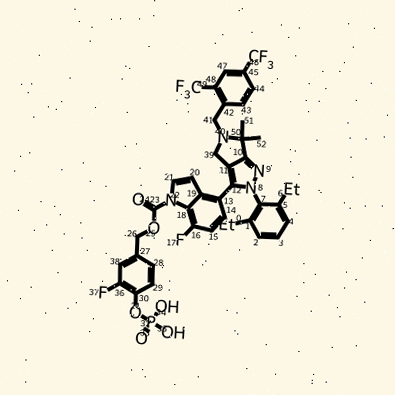 CCc1cccc(CC)c1-n1nc2c(c1-c1ccc(F)c3c1ccn3C(=O)OCc1ccc(OP(=O)(O)O)c(F)c1)CN(Cc1ccc(C(F)(F)F)cc1C(F)(F)F)C2(C)C